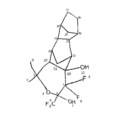 CC1(C)OC(O)(C(F)(F)F)C(F)(F)C2(O)C3CC(C4C5CCC(C5)C43)C12